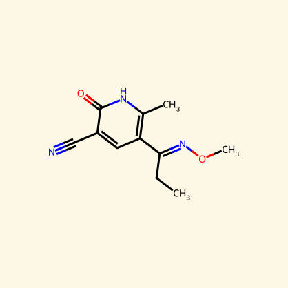 CCC(=NOC)c1cc(C#N)c(=O)[nH]c1C